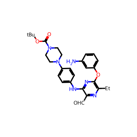 CCc1nc(C=O)c(Nc2ccc(N3CCN(C(=O)OC(C)(C)C)CC3)cc2)nc1Oc1cccc(N)c1